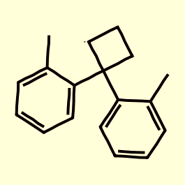 Cc1ccccc1C1(c2ccccc2C)[CH]CC1